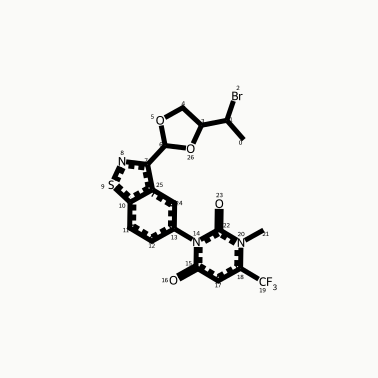 CC(Br)C1COC(c2nsc3ccc(-n4c(=O)cc(C(F)(F)F)n(C)c4=O)cc23)O1